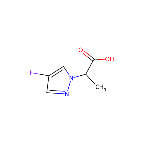 CC(C(=O)O)n1cc(I)cn1